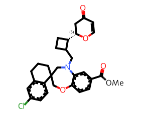 COC(=O)c1ccc2c(c1)N(CC1CCC1[C@@H]1CC(=O)C=CO1)CC1(CCCc3cc(Cl)ccc31)CO2